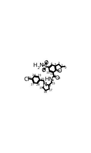 CC1Cc2cc(S(N)(=O)=O)cc(C(=O)NCC3CCCN3Cc3ccc(Cl)cc3)c2O1